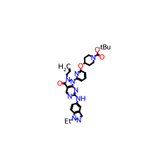 C=CCn1c(=O)c2cnc(Nc3ccc4c(cnn4CC)c3)nc2n1-c1cccc(OC2CCN(C(=O)OC(C)(C)C)CC2)n1